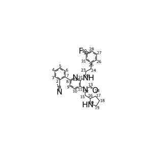 N#Cc1ccccc1-c1ccc(N(C=O)CC2CCCN2)c(NCCc2cccc(F)c2)n1